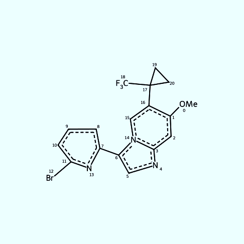 COc1cc2ncc(-c3cccc(Br)n3)n2cc1C1(C(F)(F)F)CC1